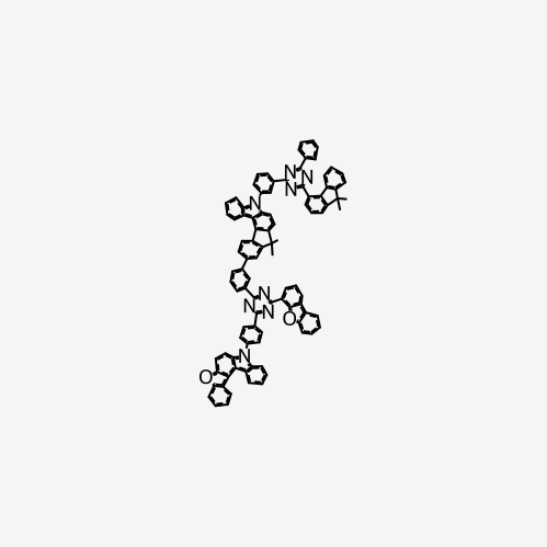 CC1(C)c2ccccc2-c2c(-c3nc(-c4ccccc4)nc(-c4cccc(-n5c6ccccc6c6c7c(ccc65)C(C)(C)c5cc(-c6cccc(-c8nc(-c9ccc(-n%10c%11ccccc%11c%11c%12c(ccc%11%10)oc%10ccccc%10%12)cc9)nc(-c9cccc%10c9oc9ccccc9%10)n8)c6)ccc5-7)c4)n3)cccc21